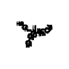 CC(C)[C@]1(F)CCc2nc3sc(C(=O)N[C@H](CCN4CCC(O)CC4)c4ccc(-c5ccnnc5)nc4)nc3cc2C1